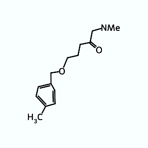 CNCC(=O)CCCOCc1ccc(C)cc1